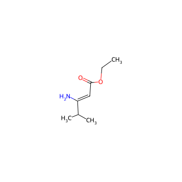 CCOC(=O)/C=C(\N)C(C)C